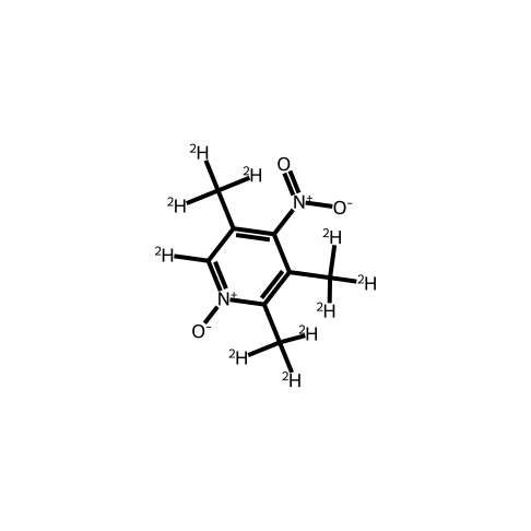 [2H]c1c(C([2H])([2H])[2H])c([N+](=O)[O-])c(C([2H])([2H])[2H])c(C([2H])([2H])[2H])[n+]1[O-]